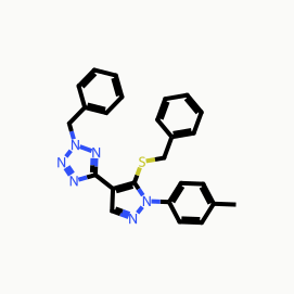 Cc1ccc(-n2ncc(-c3nnn(Cc4ccccc4)n3)c2SCc2ccccc2)cc1